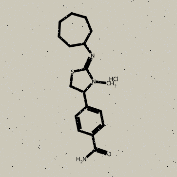 CN1C(=NC2CCCCCC2)SCC1c1ccc(C(N)=O)cc1.Cl